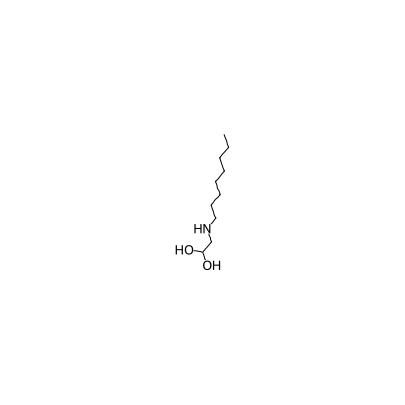 CCCCCCCCNCC(O)O